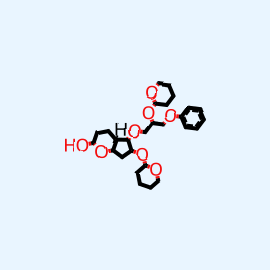 OC1CC[C@@H]2C(CC(OC3CCCCO3)C2OCC(COc2ccccc2)OC2CCCCO2)O1